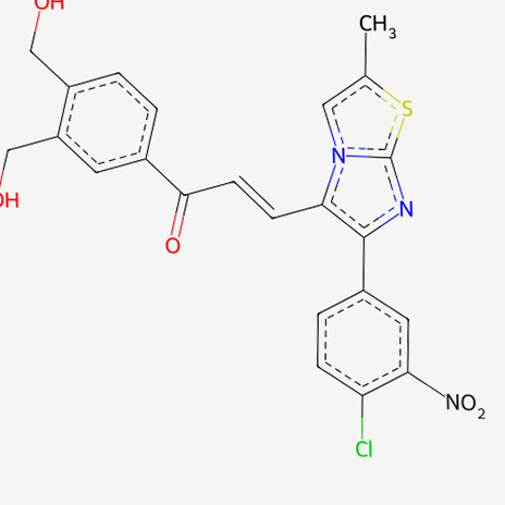 Cc1cn2c(/C=C/C(=O)c3ccc(CO)c(CO)c3)c(-c3ccc(Cl)c([N+](=O)[O-])c3)nc2s1